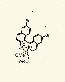 COCOc1ccc2cc(Br)ccc2c1C1=c2ccc(Br)cc2=CC[C@@]1(O)OCOC